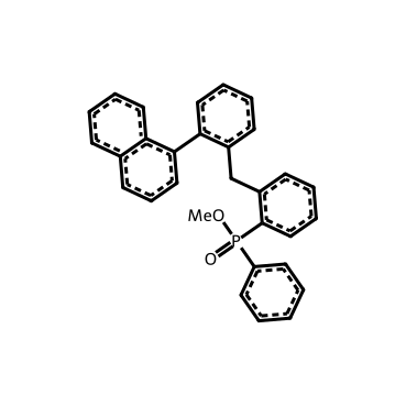 COP(=O)(c1ccccc1)c1ccccc1Cc1ccccc1-c1cccc2ccccc12